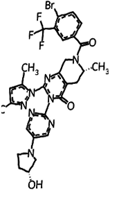 Cc1cc(C)n(-c2nc3c(c(=O)n2-c2ncc(N4CC[C@@H](O)C4)cn2)C[C@@H](C)N(C(=O)c2ccc(Br)c(C(F)(F)F)c2)C3)n1